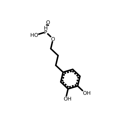 O=[PH](O)OCCCc1ccc(O)c(O)c1